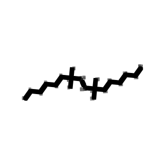 CCCCCCC(C)(C)SSC(C)(C)CCCCCC